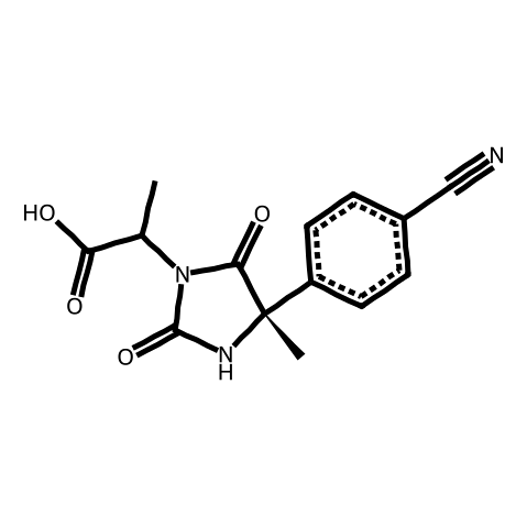 CC(C(=O)O)N1C(=O)N[C@@](C)(c2ccc(C#N)cc2)C1=O